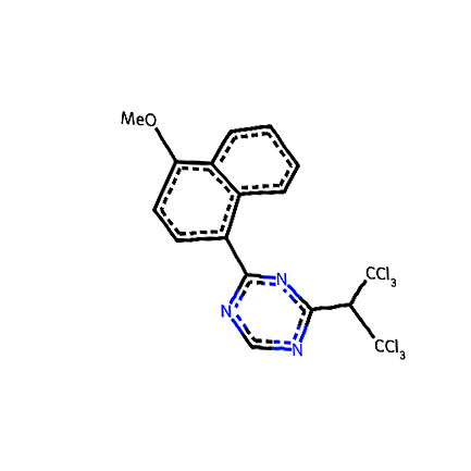 COc1ccc(-c2ncnc(C(C(Cl)(Cl)Cl)C(Cl)(Cl)Cl)n2)c2ccccc12